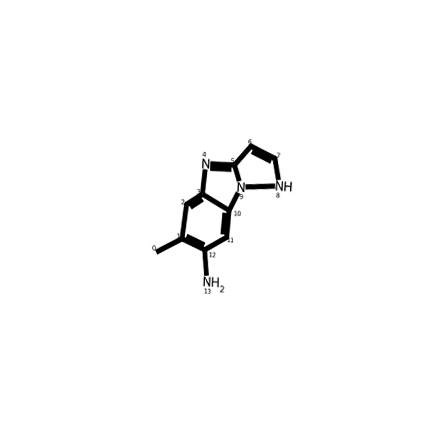 Cc1cc2nc3cc[nH]n3c2cc1N